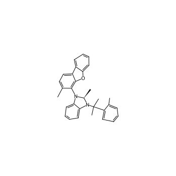 Cc1ccccc1C(C)(C)N1c2ccccc2N(c2c(C)ccc3c2oc2ccccc23)[C@H]1C